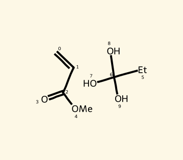 C=CC(=O)OC.CCC(O)(O)O